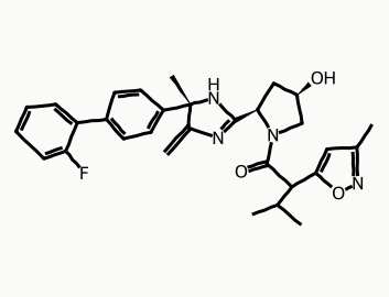 C=C1N=C([C@H]2C[C@@H](O)CN2C(=O)C(c2cc(C)no2)C(C)C)N[C@@]1(C)c1ccc(-c2ccccc2F)cc1